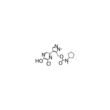 CN(C(=O)OCc1c(-c2cnc(O)c(Cl)n2)cnn1C)C1CCCC1